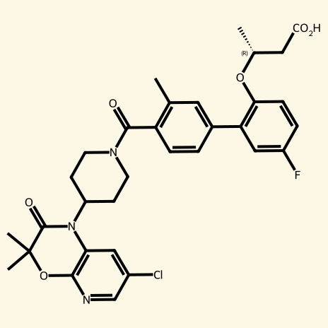 Cc1cc(-c2cc(F)ccc2O[C@H](C)CC(=O)O)ccc1C(=O)N1CCC(N2C(=O)C(C)(C)Oc3ncc(Cl)cc32)CC1